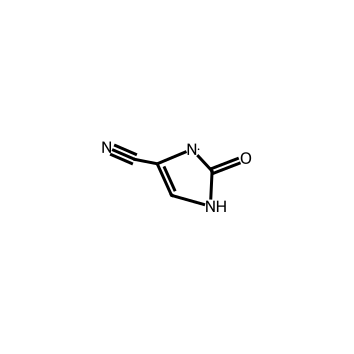 N#CC1=CNC(=O)[N]1